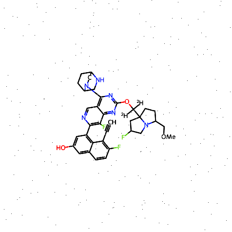 [2H]C([2H])(Oc1nc(N2CC3CCC2CN3)c2cnc(-c3cc(O)cc4ccc(F)c(C#C)c34)c(F)c2n1)C12CCC(COC)N1CC(F)C2